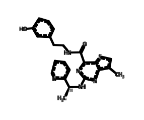 Cc1csc2c(C(=O)NCCc3cccc(O)c3)nc(N[C@@H](C)c3ccccn3)nc12